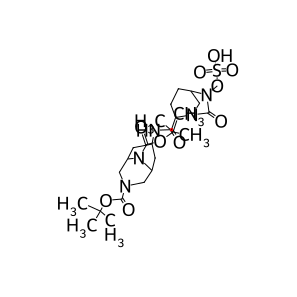 CC(C)(C)OC(=O)N1CC2CC(NC(=O)C3CCC4CN3C(=O)N4OS(=O)(=O)O)CC(C1)N2C(=O)OC(C)(C)C